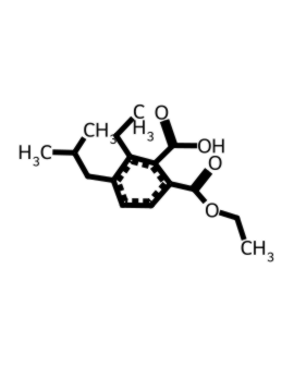 CCOC(=O)c1ccc(CC(C)C)c(CC)c1C(=O)O